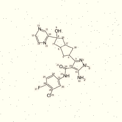 Cn1nc(C2CC3CC(O)(c4cnccn4)CC3C2)c(C(=O)Nc2ccc(F)c(Cl)c2)c1N